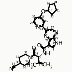 C=C(C)[C@@H](NC(=O)c1c[nH]c2ncc(-c3cc(OC4CCCC4)ccn3)nc12)C(=O)N1CCC(C#N)CC1